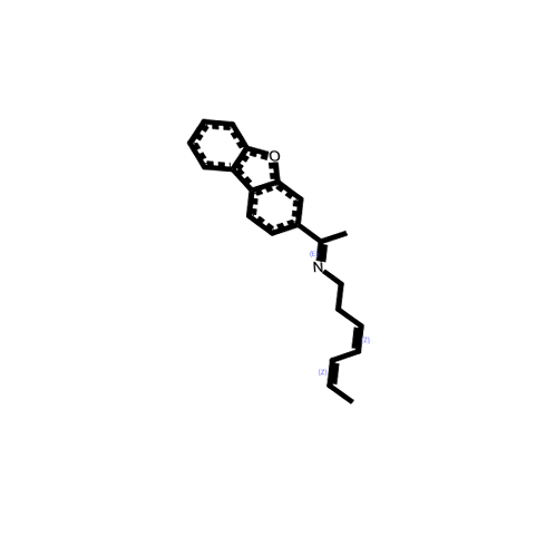 C/C=C\C=C/CC/N=C(\C)c1ccc2c(c1)oc1ccccc12